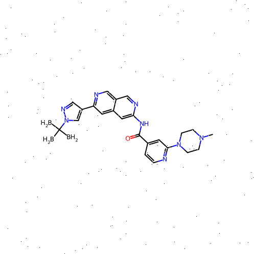 BC(B)(B)n1cc(-c2cc3cc(NC(=O)c4ccnc(N5CCN(C)CC5)c4)ncc3cn2)cn1